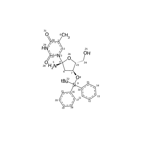 Cc1cn([C@@]2(N)C[C@H](O[Si](c3ccccc3)(c3ccccc3)C(C)(C)C)[C@@H](CO)O2)c(=O)[nH]c1=O